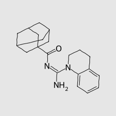 NC(=NC(=O)C12CC3CC(CC(C3)C1)C2)N1CCCc2ccccc21